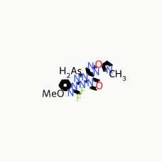 COc1cccc2c1nc(C(F)F)n2C1=NC(N2CCOCC2)N(c2cnc(OC3CCN(C)C3)nc2)C([AsH2])=N1